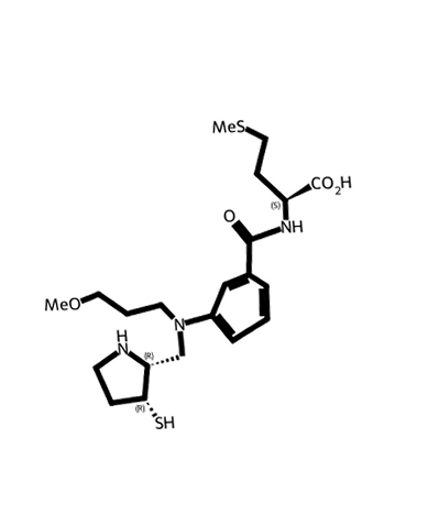 COCCCN(C[C@H]1NCC[C@H]1S)c1cccc(C(=O)N[C@@H](CCSC)C(=O)O)c1